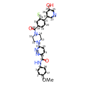 COc1ccc(NC(=O)c2ccc(N3CCN(C(=O)c4ccc(-c5cncc(O)c5)c(F)c4)CC3)nn2)cc1